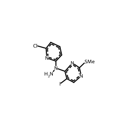 CSc1ncc(I)c(N(N)c2cccc(Cl)n2)n1